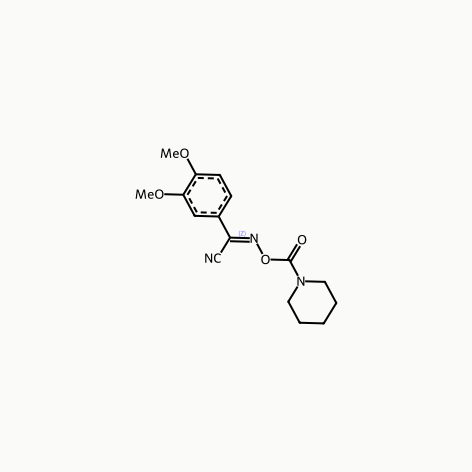 COc1ccc(/C(C#N)=N/OC(=O)N2CCCCC2)cc1OC